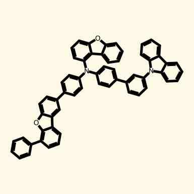 c1ccc(-c2cccc3c2oc2ccc(-c4ccc(N(c5ccc(-c6cccc(-n7c8ccccc8c8ccccc87)c6)cc5)c5cccc6oc7ccccc7c56)cc4)cc23)cc1